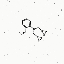 O=Pc1ccccc1N(CC1CO1)CC1CO1